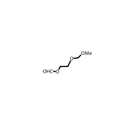 COCOCCO[C]=O